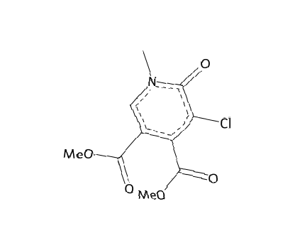 COC(=O)c1cn(C)c(=O)c(Cl)c1C(=O)OC